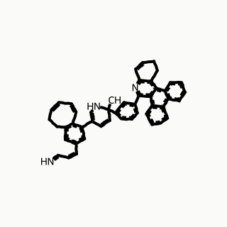 CC1(c2cccc(-c3nc4c(c5c6ccccc6c6ccccc6c35)CCC=C4)c2)C=CC(c2cc(/C=C\C=N)cc3c2/C=C\C=C/CC3)=CN1